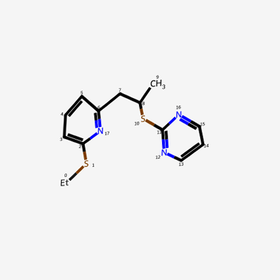 CCSc1cccc(CC(C)Sc2ncccn2)n1